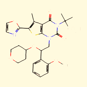 Cc1c(-c2ncco2)sc2c1c(=O)n(C(C)(C)C(=O)O)c(=O)n2CC(OC1CCOCC1)c1ccccc1OC(C)C